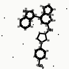 O=[N+]([O-])c1ccc(N2CC[C@@H](Nc3cc(-c4c[nH]c5ccccc45)c4nccn4n3)C2)cc1